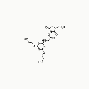 O=C(CNc1nc(OCCO)nc(OCCO)n1)ON1C(=O)CC(S(=O)(=O)O)C1=O